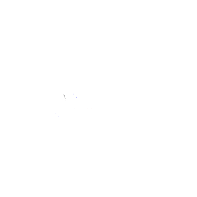 O=C(N[C@H]1CN2CCC1CC2)c1cc(-c2ccccc2)ccc1F